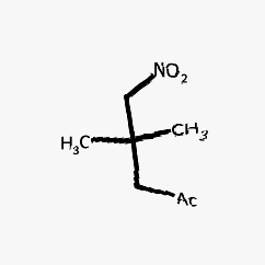 CC(=O)CC(C)(C)C[N+](=O)[O-]